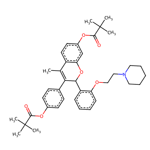 CC1=C(c2ccc(OC(=O)C(C)(C)C)cc2)C(c2ccccc2OCCN2CCCCC2)Oc2cc(OC(=O)C(C)(C)C)ccc21